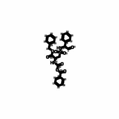 O=[C]C(NS(=O)(=O)CC(NC(=O)OC(=O)c1ccccc1)C(=O)OCc1ccccc1)c1ccccc1